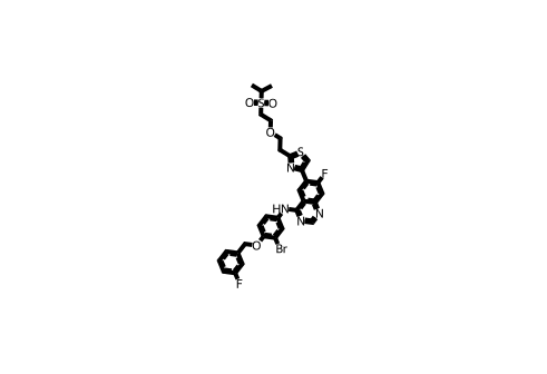 CC(C)S(=O)(=O)CCOCCc1nc(-c2cc3c(Nc4ccc(OCc5cccc(F)c5)c(Br)c4)ncnc3cc2F)cs1